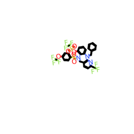 O=S(=O)(c1ccc(OC(F)(F)F)cc1)N1Cc2ccc(C(F)(F)F)nc2N(Cc2ccccc2)c2cccc(OS(=O)(=O)C(F)(F)F)c21